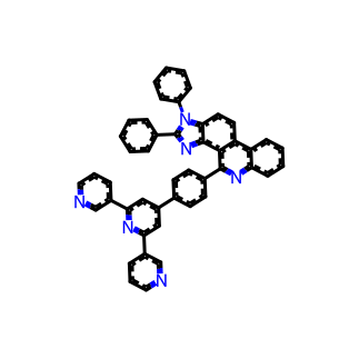 c1ccc(-c2nc3c4c(-c5ccc(-c6cc(-c7cccnc7)nc(-c7cccnc7)c6)cc5)nc5ccccc5c4ccc3n2-c2ccccc2)cc1